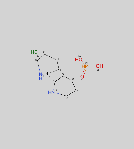 C1CCNCC1.C1CCNCC1.Cl.O=[PH](O)O